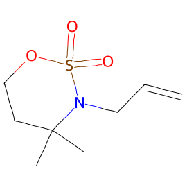 C=CCN1C(C)(C)CCOS1(=O)=O